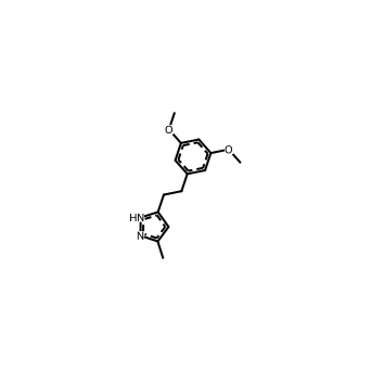 COc1cc(CCc2cc(C)n[nH]2)cc(OC)c1